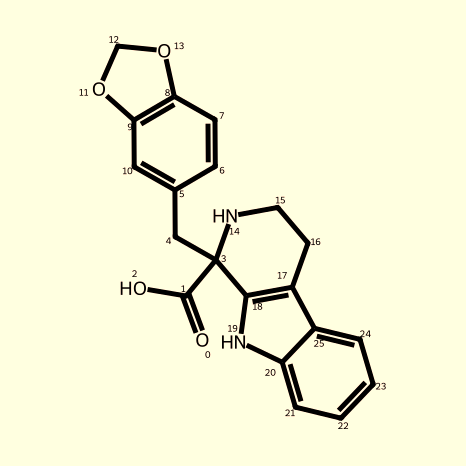 O=C(O)C1(Cc2ccc3c(c2)OCO3)NCCc2c1[nH]c1ccccc21